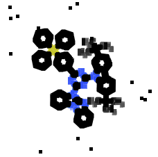 CC(C)(C)c1ccc2c3ccc(C(C)(C)C)cc3n(-c3nc(-c4ccc(S(c5ccccc5)(c5ccccc5)c5ccccc5)cc4)nc(-n4c5ccccc5n5c6ccccc6nc45)n3)c2c1